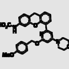 COc1ccc(COc2cc(N3CCOCC3)cc(-c3cccc4c3Oc3cc(NC(=O)O)ccc3C4)n2)cc1